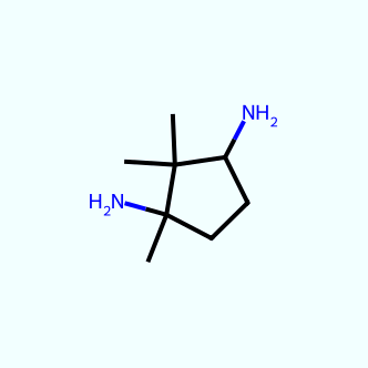 CC1(N)CCC(N)C1(C)C